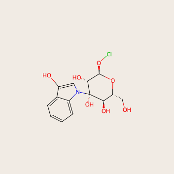 OC[C@H]1O[C@H](OCl)[C@@H](O)[C@](O)(n2cc(O)c3ccccc32)[C@@H]1O